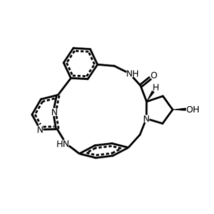 O=C1NCc2cccc(c2)-c2ccnc(n2)Nc2ccc(cc2)CN2C[C@H](O)C[C@@H]12